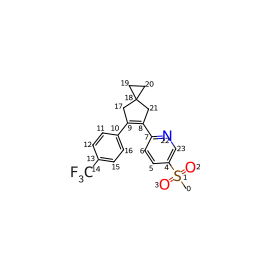 CS(=O)(=O)c1ccc(C2=C(c3ccc(C(F)(F)F)cc3)CC3(CC3)C2)nc1